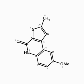 COc1ccc2[nH]c(=O)c3sc(C)cc3c2c1